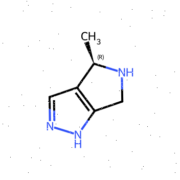 C[C@H]1NCc2[nH]ncc21